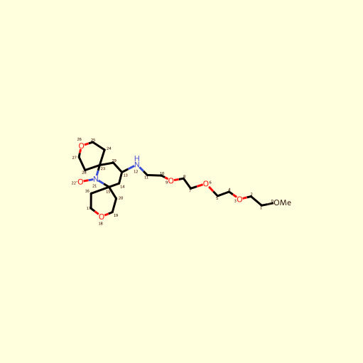 COCCOCCOCCOCCNC1CC2(CCOCC2)N([O])C2(CCOCC2)C1